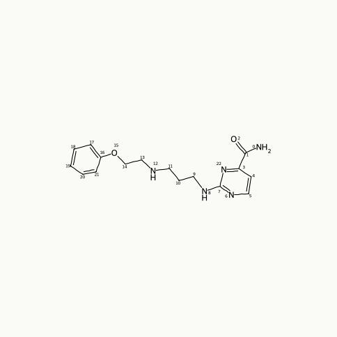 NC(=O)c1ccnc(NCCCNCCOc2ccccc2)n1